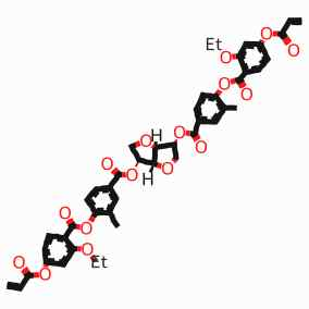 C=CC(=O)Oc1ccc(C(=O)Oc2ccc(C(=O)O[C@@H]3CO[C@H]4[C@@H]3OC[C@H]4OC(=O)c3ccc(OC(=O)c4ccc(OC(=O)C=C)cc4OCC)c(C)c3)cc2C)c(OCC)c1